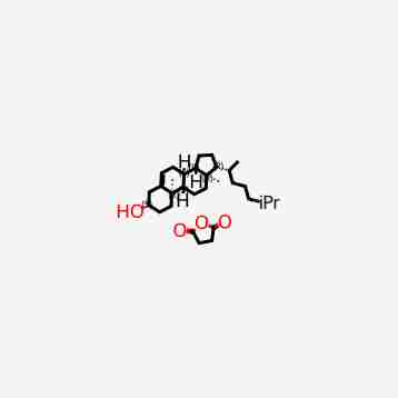 CC(C)CCCC(C)[C@H]1CC[C@H]2[C@@H]3CC=C4C[C@@H](O)CC[C@]4(C)[C@H]3CC[C@]12C.O=C1CCC(=O)O1